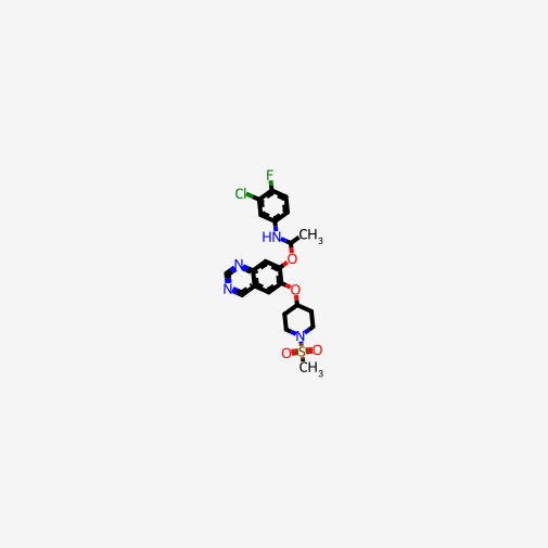 CC(Nc1ccc(F)c(Cl)c1)Oc1cc2ncncc2cc1OC1CCN(S(C)(=O)=O)CC1